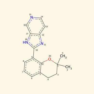 CC1(C)CCc2cccc(-c3nc4ccncc4[nH]3)c2O1